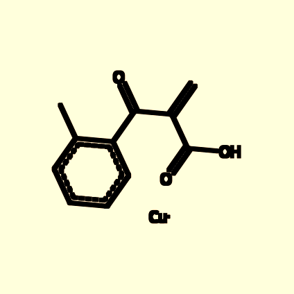 C=C(C(=O)O)C(=O)c1ccccc1C.[Cu]